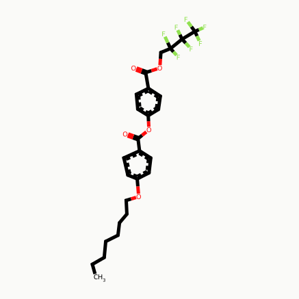 CCCCCCCCOc1ccc(C(=O)Oc2ccc(C(=O)OCC(F)(F)C(F)(F)C(F)(F)F)cc2)cc1